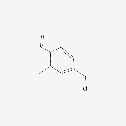 C=CC1C=CC(CCl)=CC1C